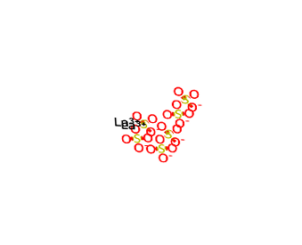 O=S(=O)([O-])OS(=O)(=O)[O-].O=S(=O)([O-])OS(=O)(=O)[O-].O=S(=O)([O-])OS(=O)(=O)[O-].[La+3].[La+3]